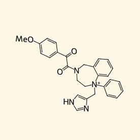 COc1ccc(C(=O)C(=O)N2CC[N+](Cc3c[nH]cn3)(c3ccccc3)c3ccccc3C2)cc1